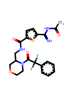 N=C(NC(=O)C(F)(F)F)c1ccc(C(=O)NCC2COCCN2C(=O)C(F)(F)c2ccccc2)s1